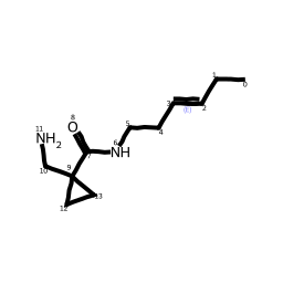 CC/C=C/CCNC(=O)C1(CN)CC1